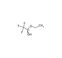 CCO[C@@H](O)C(F)(F)F